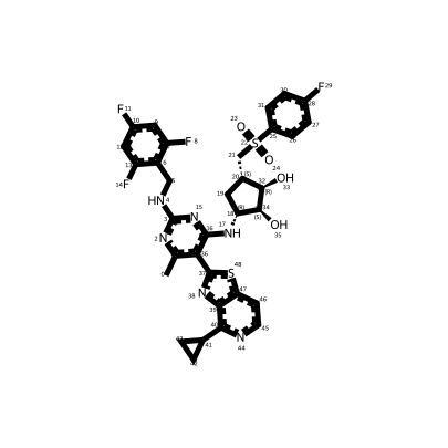 Cc1nc(NCc2c(F)cc(F)cc2F)nc(N[C@@H]2C[C@H](CS(=O)(=O)c3ccc(F)cc3)[C@@H](O)[C@H]2O)c1-c1nc2c(C3CC3)nccc2s1